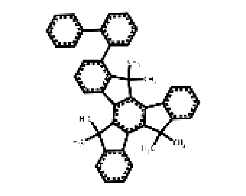 CC1(C)c2ccccc2-c2c1c1c(c3c2C(C)(C)c2c(-c4ccccc4-c4ccccc4)cccc2-3)C(C)(C)c2ccccc2-1